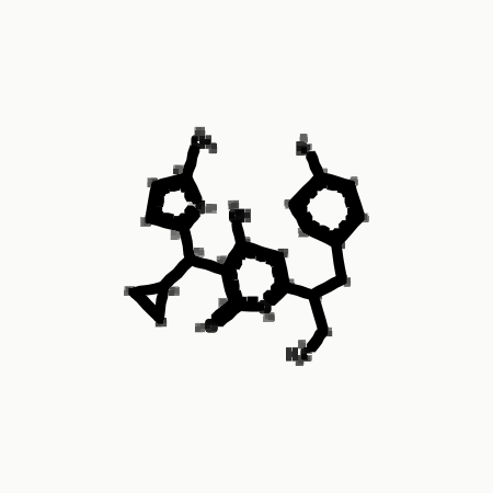 CCC(Cc1ccc(Br)cc1)c1cc(O)c(C(c2ccc(C)s2)C2CC2)c(=O)o1